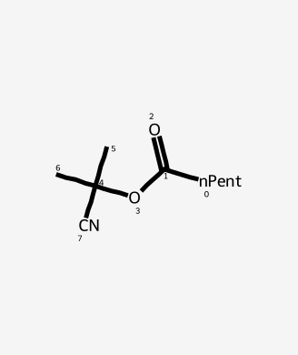 CCCCCC(=O)OC(C)(C)C#N